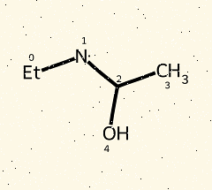 CC[N]C(C)O